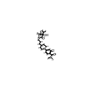 CC(C)C(O)(C(=O)N(C)CCCC1CCN(c2ccc(C(=O)N(C)C)c(Cl)c2)CC1)C(F)(F)F